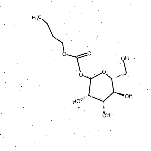 CCCCOC(=O)O[C]1O[C@H](CO)[C@@H](O)[C@H](O)[C@@H]1O